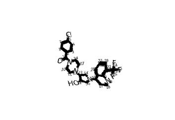 O=C(c1ccc(Cl)cc1)N1CCN(C2CN(c3ccnc4c(C(F)(F)F)cccc34)C[C@H]2O)CC1